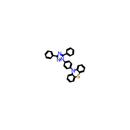 c1ccc(-c2nc(-c3ccccc3)n(-c3ccc(N4c5ccccc5Sc5ccccc54)cc3)n2)cc1